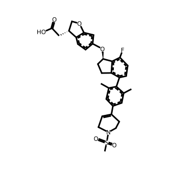 Cc1cc(C2=CCN(S(C)(=O)=O)CC2)cc(C)c1-c1ccc(F)c2c1CC[C@H]2Oc1ccc2c(c1)OC[C@H]2CC(=O)O